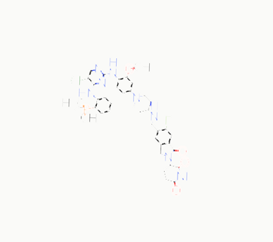 COc1cc(N2CCC(NCc3cc4c(cc3F)C(=O)N(C3CCC(=O)NC3=O)C4)CC2)ccc1Nc1ncc(Cl)c(Nc2ccccc2P(C)C)n1